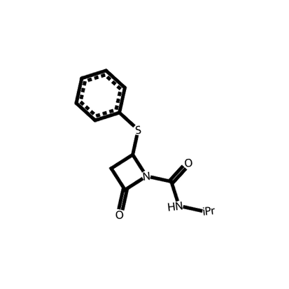 CC(C)NC(=O)N1C(=O)CC1Sc1ccccc1